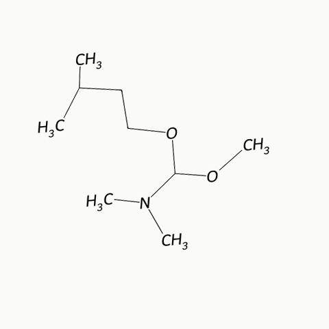 COC(OCCC(C)C)N(C)C